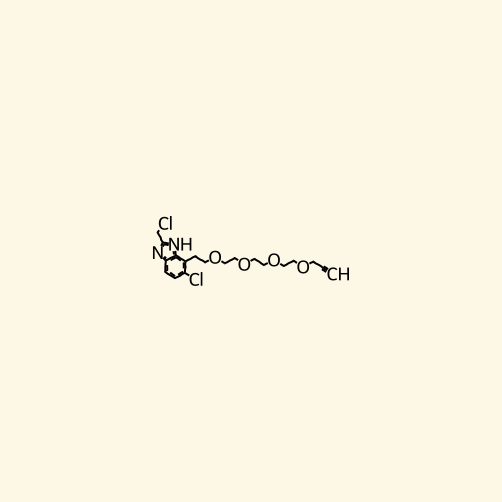 C#CCOCCOCCOCCOCCc1c(Cl)ccc2nc(CCl)[nH]c12